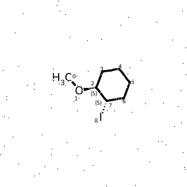 CO[C@H]1CCCC[C@@H]1I